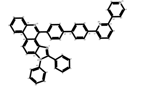 c1ccc(-c2nc3c4c(-c5ccc(-c6ccc(-c7cccc(-c8ccncc8)n7)cc6)cc5)nc5ccccc5c4ccc3n2-c2ccccc2)cc1